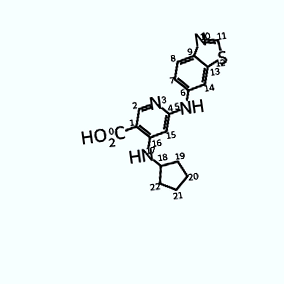 O=C(O)c1cnc(Nc2ccc3ncsc3c2)cc1NC1CCCC1